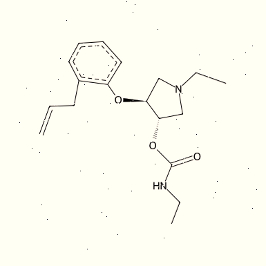 C=CCc1ccccc1O[C@H]1CN(CC)C[C@@H]1OC(=O)NCC